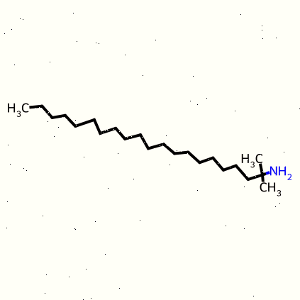 CCCCCCCCCCCCCCCCCCCC(C)(C)N